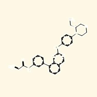 C=CC(=O)Nc1cccc(-c2cccc3cnc(Nc4ccc(N5CCOC[C@@H]5CN)cc4)nc23)c1